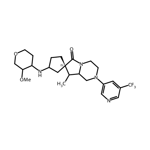 COC1COCCC1NC1CC[C@@]2(C1)C(=O)N1CCN(c3cncc(C(F)(F)F)c3)CC1C2C